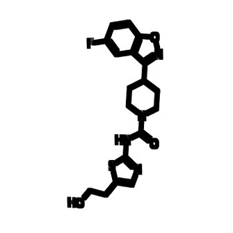 O=C(Nc1ncc(CCO)s1)N1CCC(c2noc3ccc(F)cc23)CC1